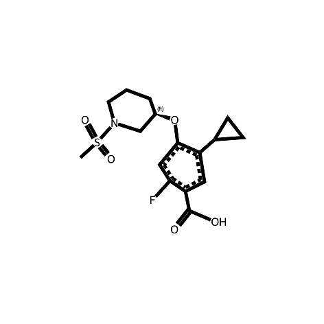 CS(=O)(=O)N1CCC[C@@H](Oc2cc(F)c(C(=O)O)cc2C2CC2)C1